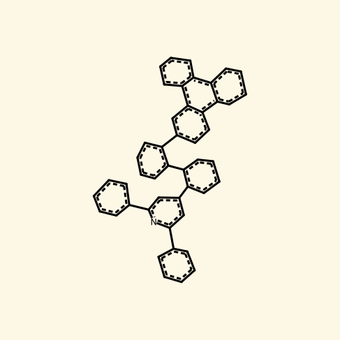 c1ccc(-c2cc(-c3ccccc3-c3ccccc3-c3ccc4c5ccccc5c5ccccc5c4c3)cc(-c3ccccc3)n2)cc1